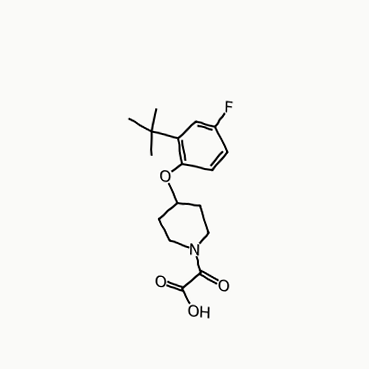 CC(C)(C)c1cc(F)ccc1OC1CCN(C(=O)C(=O)O)CC1